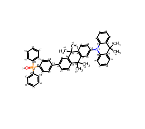 CC1(C)c2ccccc2N(c2ccc3c(c2)C(C)(C)c2ccc(-c4ccc(P(=O)(c5ccccc5)c5ccccc5)cc4)cc2C3(C)C)c2ccccc21